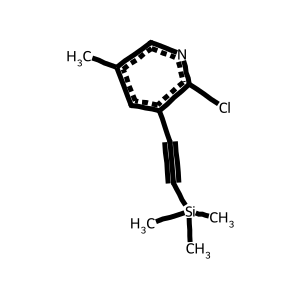 Cc1cnc(Cl)c(C#C[Si](C)(C)C)c1